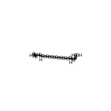 O=C(O)COc1cccc(C(=O)NCCNC(=O)CCOCCOCCOCCOCCOCCOCCOCCOCCOCCOCCOCCOCCNC(=O)CCCC[C@@H]2SC[C@@H]3NC(=O)N[C@@H]32)c1